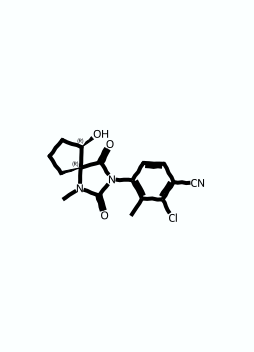 Cc1c(N2C(=O)N(C)[C@@]3(CCC[C@H]3O)C2=O)ccc(C#N)c1Cl